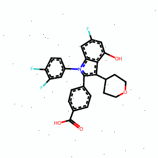 O=C(O)c1ccc(-c2c(C3CCOCC3)c3c(O)cc(F)cc3n2-c2ccc(F)c(F)c2)cc1